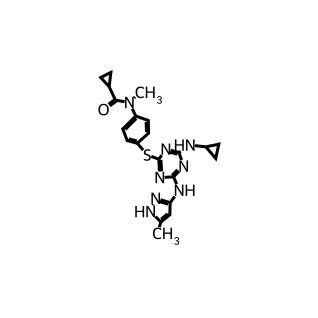 Cc1cc(Nc2nc(NC3CC3)nc(Sc3ccc(N(C)C(=O)C4CC4)cc3)n2)n[nH]1